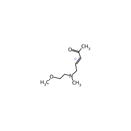 COCCN(C)C/C=C/C(C)=O